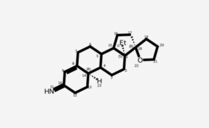 CC[C@]12CCC3C(CCC4=CC(=N)CC[C@@H]43)C1CC[C@@]21CCCO1